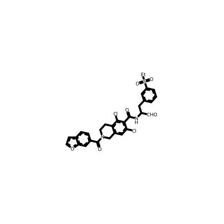 CCS(=O)(=O)c1cccc(CC(C=O)NC(=O)c2c(Cl)cc3c(c2Cl)CCN(C(=O)c2ccc4ccoc4c2)C3)c1